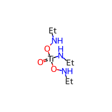 CCN[O][Ti](=[O])([NH]CC)[O]NCC